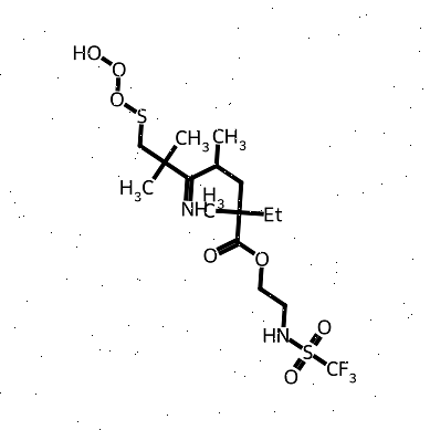 CCC(C)(CC(C)C(=N)C(C)(C)CSOOO)C(=O)OCCNS(=O)(=O)C(F)(F)F